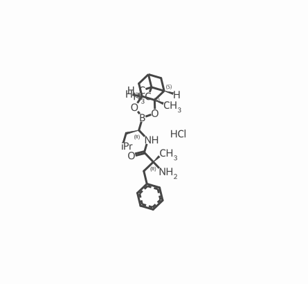 CC(C)C[C@H](NC(=O)[C@](C)(N)Cc1ccccc1)B1O[C@@H]2CC3C[C@@H](C3(C)C)[C@]2(C)O1.Cl